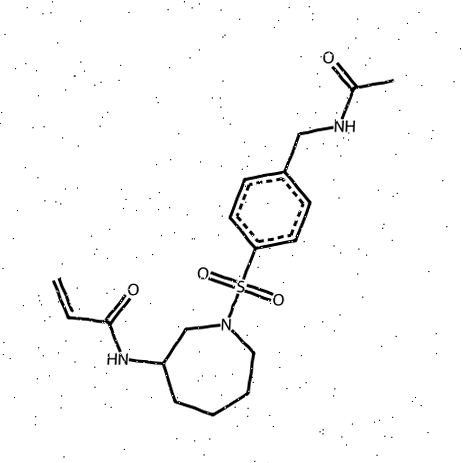 C=CC(=O)NC1CCCCN(S(=O)(=O)c2ccc(CNC(C)=O)cc2)C1